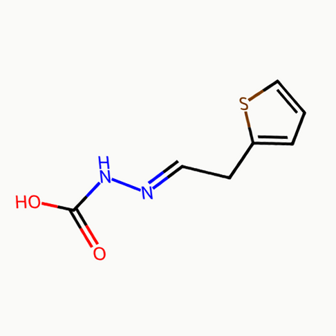 O=C(O)NN=CCc1cccs1